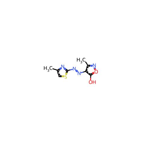 Cc1csc(N=Nc2c(C)noc2O)n1